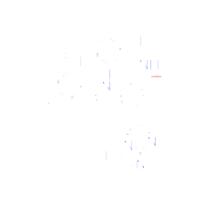 O=C(Nc1cc(-c2cnc3ncc(Cl)n3c2)cc2c1C(c1cc(F)ccc1Cl)NC2=O)c1cc(F)cc(C(F)(F)F)c1